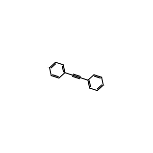 C(#Cc1cc[c]cc1)c1cc[c]cc1